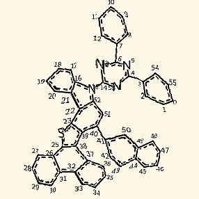 c1ccc(-c2nc(-c3ccccc3)nc(-n3c4ccccc4c4c5sc6c7ccccc7c7ccccc7c6c5c(-c5ccc6ccccc6c5)cc43)n2)cc1